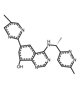 Cc1cnc(-c2cc(O)c3ncnc(N[C@H](C)c4ccc(C)nn4)c3c2)nc1